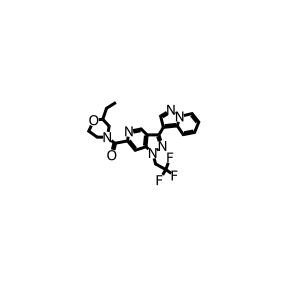 CCC1CN(C(=O)c2cc3c(cn2)c(-c2cnn4ccccc24)nn3CC(F)(F)F)CCO1